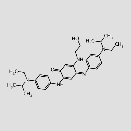 CCN(c1ccc(/N=C2/C=C(Nc3ccc(N(CC)C(C)C)cc3)C(=O)C=C2NCCO)cc1)C(C)C